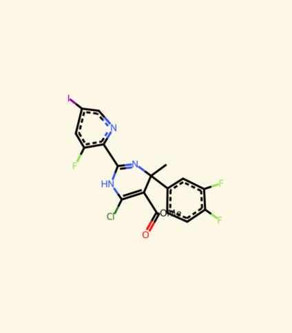 COC(=O)C1=C(Cl)NC(c2ncc(I)cc2F)=NC1(C)c1ccc(F)c(F)c1